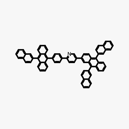 c1ccc2cc(-c3c4ccccc4c(-c4ccc(-c5ccc(-c6ccc7c(-c8ccc9ccccc9c8)c8ccccc8c(-c8ccc9ccccc9c8)c7c6)cn5)cc4)c4ccccc34)ccc2c1